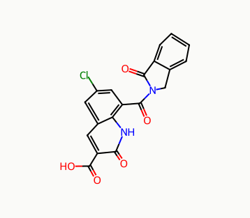 O=C(O)c1cc2cc(Cl)cc(C(=O)N3Cc4ccccc4C3=O)c2[nH]c1=O